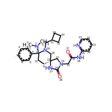 CN(C)[C@]1(c2ccccc2)CC[C@@]2(CN(CC(=O)Nc3ccccn3)C(=O)N2)CN1CC1CCC1